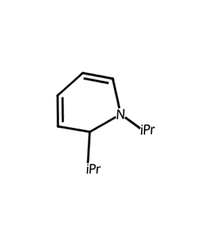 CC(C)C1C=CC=CN1C(C)C